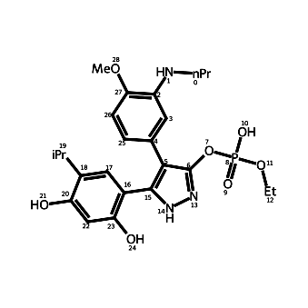 CCCNc1cc(-c2c(OP(=O)(O)OCC)n[nH]c2-c2cc(C(C)C)c(O)cc2O)ccc1OC